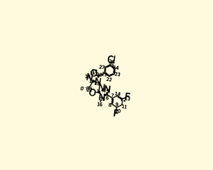 C[C@@H](Oc1nnc(C2=CC(F)CC(F)=C2)n1C)c1noc(-c2cccc(Cl)c2)n1